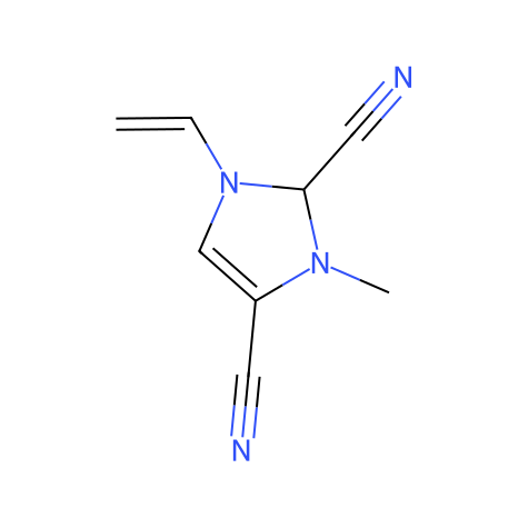 C=CN1C=C(C#N)N(C)C1C#N